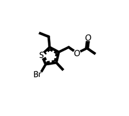 CCc1sc(Br)c(C)c1COC(C)=O